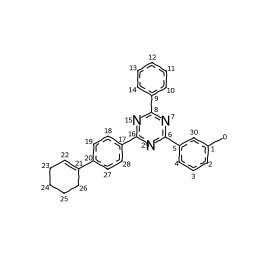 Cc1cccc(-c2nc(-c3ccccc3)nc(-c3ccc(C4=CCCCC4)cc3)n2)c1